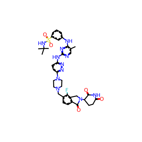 Cc1cnc(Nc2ccc(N3CCN(Cc4ccc5c(c4F)CN(C4CCC(=O)NC4=O)C5=O)CC3)nn2)nc1Nc1cccc(S(=O)(=O)NC(C)(C)C)c1